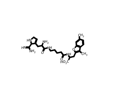 Cc1ccc2c(C)c(CC(NC(=O)CCCCNC(=O)C(N)CC3=CCNC3C(=N)N)C(=O)O)oc2c1